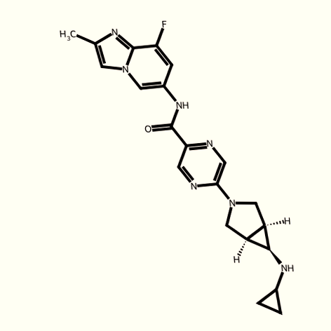 Cc1cn2cc(NC(=O)c3cnc(N4C[C@@H]5[C@H](C4)[C@@H]5NC4CC4)cn3)cc(F)c2n1